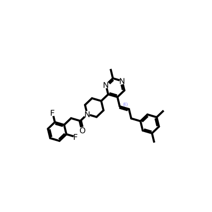 Cc1cc(C)cc(C/C=C/c2cnc(C)nc2C2CCN(C(=O)Cc3c(F)cccc3F)CC2)c1